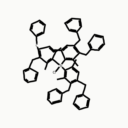 Cc1cc(Cc2ccccc2)c(Cc2ccccc2)c(C)c1[Si](Cl)(c1c(C)cc(Cc2ccccc2)c(Cc2ccccc2)c1C)c1c(C)cc(Cc2ccccc2)c(Cc2ccccc2)c1C